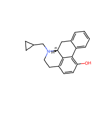 Oc1ccc2c3c1-c1ccccc1C[C@H]3N(CC1CC1)CC2